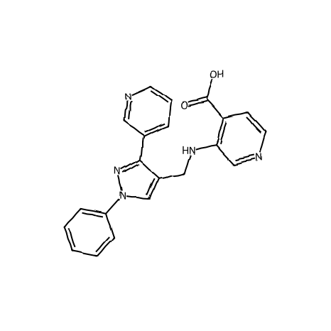 O=C(O)c1ccncc1NCc1cn(-c2ccccc2)nc1-c1cccnc1